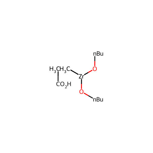 CC(=O)O.CCCC[O][Zr]([CH3])[O]CCCC